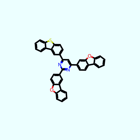 c1ccc2c(c1)oc1cc(-c3cc(-c4ccc5sc6ccccc6c5c4)nc(-c4ccc5oc6ccccc6c5c4)n3)ccc12